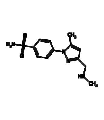 CNCc1cc(C)n(-c2ccc(S(N)(=O)=O)cc2)n1